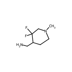 CN1CCC(CN)C(F)(F)C1